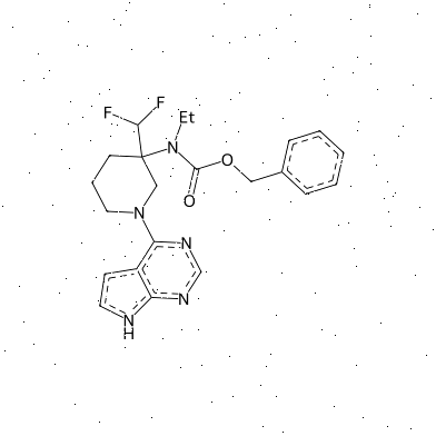 CCN(C(=O)OCc1ccccc1)C1(C(F)F)CCCN(c2ncnc3[nH]ccc23)C1